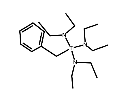 CC[N](CC)[Ti]([CH2]c1ccccc1)([N](CC)CC)[N](CC)CC